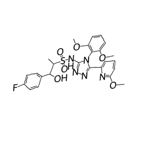 COc1cccc(-c2nnc(NS(=O)(=O)C(C)C(O)c3ccc(F)cc3)n2-c2c(OC)cccc2OC)n1